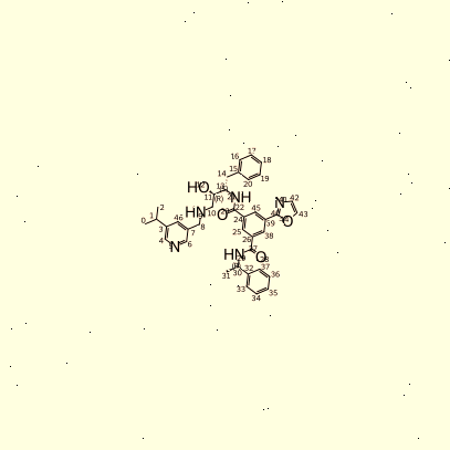 CC(C)c1cncc(CNC[C@@H](O)[C@H](Cc2ccccc2)NC(=O)c2cc(C(=O)N[C@H](C)c3ccccc3)cc(-c3ncco3)c2)c1